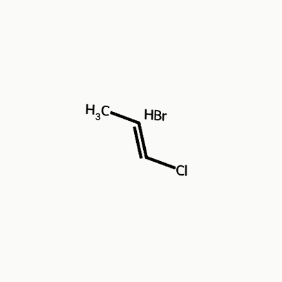 Br.CC=CCl